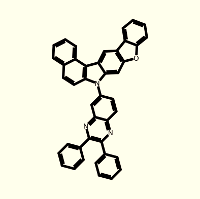 c1ccc(-c2nc3ccc(-n4c5cc6oc7ccccc7c6cc5c5c6ccccc6ccc54)cc3nc2-c2ccccc2)cc1